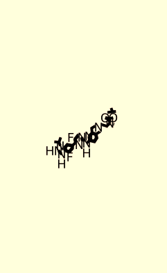 CC(C)N1NNc2c(F)cc(-c3nc(Nc4ccc5c(n4)CCN(CCN(C)C(=O)OC(C)(C)C)C5)ncc3F)cc21